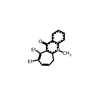 CCC1=C(CC)c2c(n(C)c3ccccc3c2=O)CC=C1